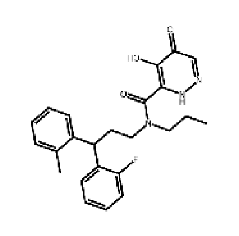 CCCN(CCC(c1ccccc1C)c1ccccc1F)C(=O)c1[nH]ncc(=O)c1O